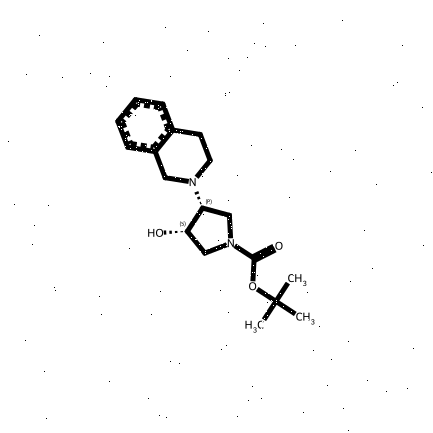 CC(C)(C)OC(=O)N1C[C@@H](N2CCc3ccccc3C2)[C@@H](O)C1